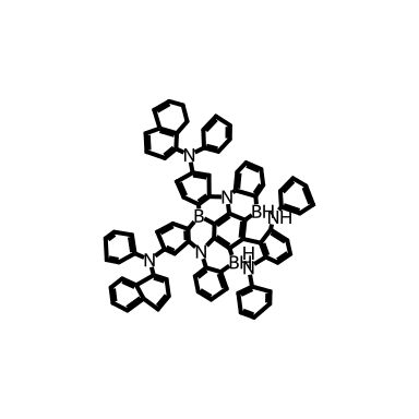 B1c2ccccc2N2c3cc(N(c4ccccc4)c4cccc5c4CCC=C5)ccc3B3c4ccc(N(c5ccccc5)c5cccc6ccccc56)cc4N4c5ccccc5Bc5c(-c6c(Nc7ccccc7)cccc6Nc6ccccc6)c1c2c3c54